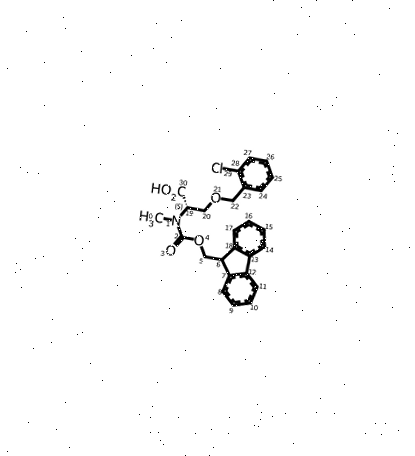 CN(C(=O)OCC1c2ccccc2-c2ccccc21)[C@@H](COCc1ccccc1Cl)C(=O)O